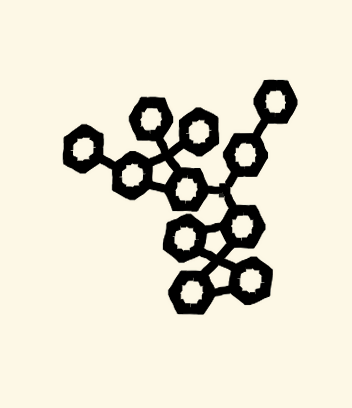 c1ccc(-c2ccc(N(c3ccc4c(c3)C(c3ccccc3)(c3ccccc3)c3cc(-c5ccccc5)ccc3-4)c3cccc4c3-c3ccccc3C43c4ccccc4-c4ccccc43)cc2)cc1